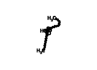 CCCCC/C=C\C/C=C\CCCCCCCC(=O)O[C@@H](CO)COC(=O)CCCCCCCCCCCCCCC